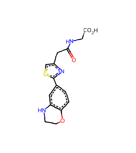 O=C(O)CNC(=O)Cc1csc(-c2ccc3c(c2)NCCO3)n1